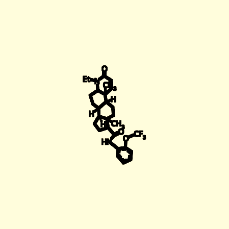 CCN1C(=O)C=C[C@@]2(C)C1CC[C@@H]1[C@H]2CC[C@]2(C)C(C(=O)Nc3ccccc3OC(F)(F)F)CC[C@@H]12